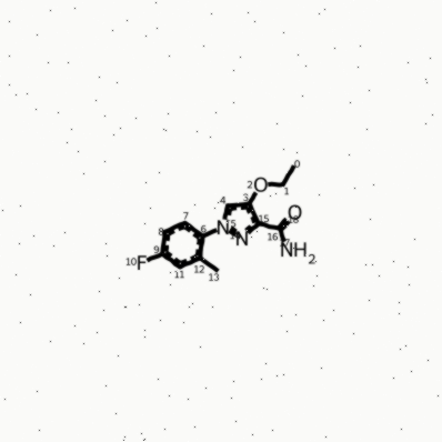 CCOc1cn(-c2ccc(F)cc2C)nc1C(N)=O